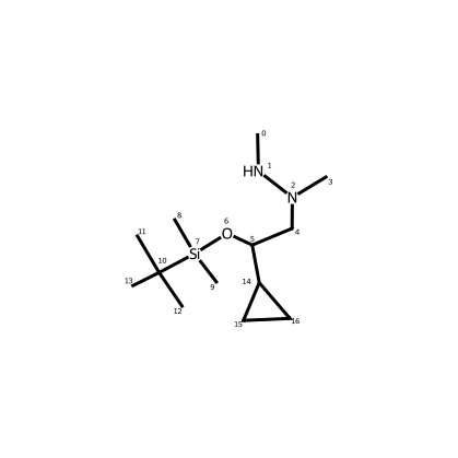 CNN(C)CC(O[Si](C)(C)C(C)(C)C)C1CC1